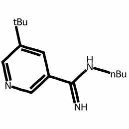 CCCCNC(=N)c1cncc(C(C)(C)C)c1